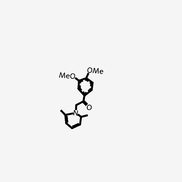 COc1ccc(C(=O)CN2C(C)=CC=CC2C)cc1OC